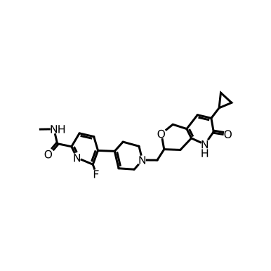 CNC(=O)c1ccc(C2=CCN(CC3Cc4[nH]c(=O)c(C5CC5)cc4CO3)CC2)c(F)n1